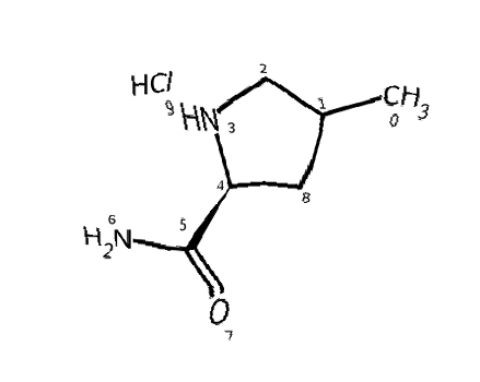 CC1CN[C@H](C(N)=O)C1.Cl